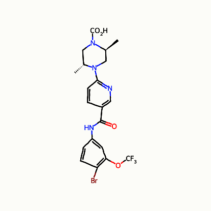 C[C@@H]1CN(C(=O)O)[C@@H](C)CN1c1ccc(C(=O)Nc2ccc(Br)c(OC(F)(F)F)c2)cn1